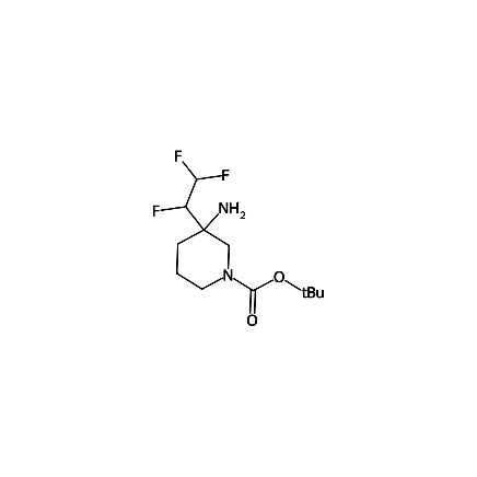 CC(C)(C)OC(=O)N1CCCC(N)(C(F)C(F)F)C1